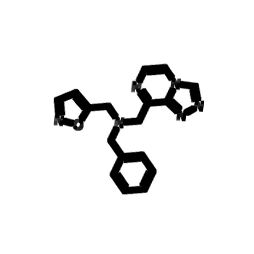 c1ccc(CN(Cc2ccno2)Cc2nccn3cnnc23)cc1